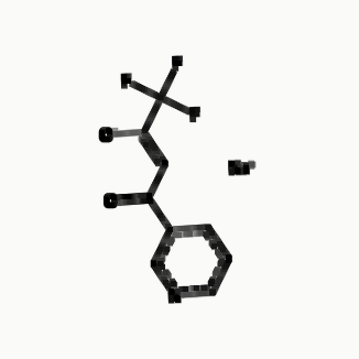 O=C(C=C([O-])C(F)(F)F)c1cccnc1.[Na+]